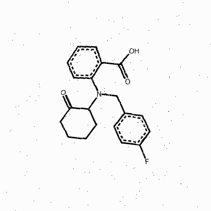 O=C(O)c1ccccc1N(Cc1ccc(F)cc1)C1CCCCC1=O